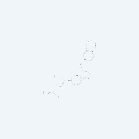 C/C(=N\NC(N)=O)c1ccc2nnc([C@H](C)c3ccc4ncccc4c3)n2n1